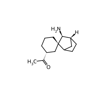 CC(=O)[C@@H]1CCC[C@]2(C1)C1CC[C@H](C1)[C@@H]2N